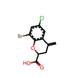 C=C1CC(C(=O)O)Oc2c(Br)cc(Cl)cc21